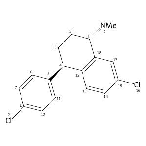 CN[C@H]1CC[C@H](c2ccc(Cl)cc2)c2ccc(Cl)cc21